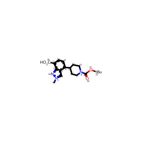 Cn1cc2c(C3CCN(C(=O)OC(C)(C)C)CC3)ccc(C(=O)O)c2n1